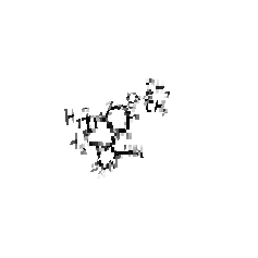 COc1cc(OC(C)C)ccc1-c1c(C)ccnc1C#N